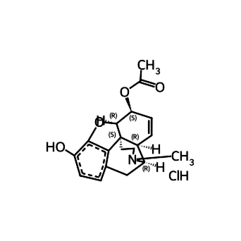 CC(=O)O[C@H]1C=C[C@H]2[C@H]3Cc4ccc(O)c5c4[C@@]2(CCN3C)[C@H]1O5.Cl